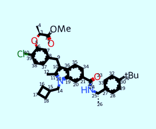 COC(=O)[C@H](C)Oc1cc(Cc2c(C)n(CC3CCC3)c3cc(C(=O)N[C@@H](C)c4ccc(C(C)(C)C)cc4)ccc23)ccc1Cl